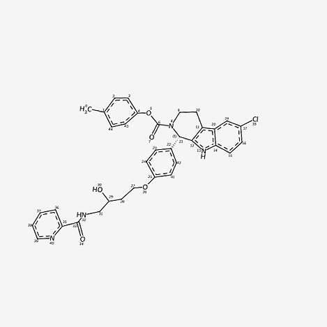 Cc1ccc(OC(=O)N2CCc3c([nH]c4ccc(Cl)cc34)[C@@H]2c2ccc(OCCC(O)CNC(=O)c3ccccn3)cc2)cc1